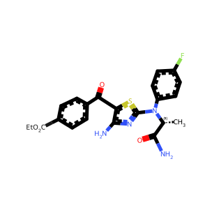 CCOC(=O)c1ccc(C(=O)c2sc(N(c3ccc(F)cc3)[C@H](C)C(N)=O)nc2N)cc1